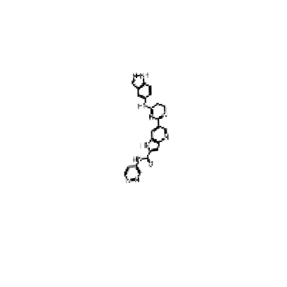 O=C(Nc1ccnnc1)c1cc2ncc(C3=NCCC(Nc4ccc5[nH]ncc5c4)=N3)cc2[nH]1